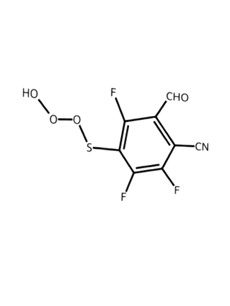 N#Cc1c(F)c(F)c(SOOO)c(F)c1C=O